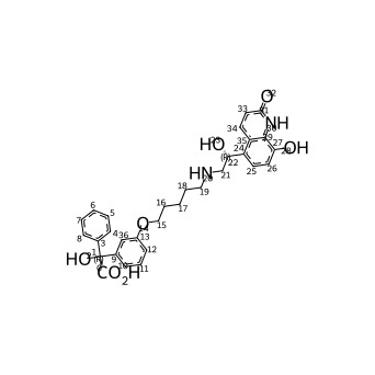 O=C(O)[C@@](O)(c1ccccc1)c1cccc(OCCCCCNC[C@H](O)c2ccc(O)c3[nH]c(=O)ccc23)c1